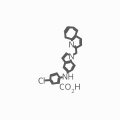 O=C(O)c1cc(Cl)ccc1Nc1ccc2c(ccn2Cc2ccc3c(n2)CC#CC=C3)c1